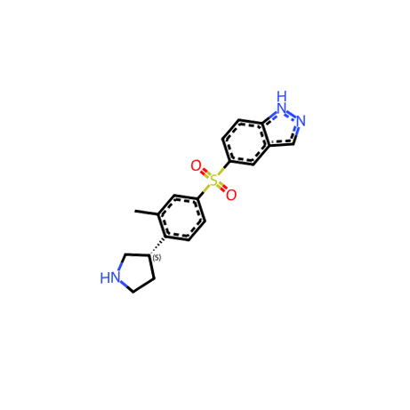 Cc1cc(S(=O)(=O)c2ccc3[nH]ncc3c2)ccc1[C@@H]1CCNC1